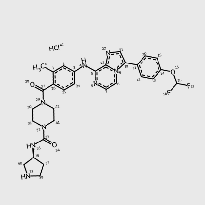 Cc1cc(Nc2nccn3c(-c4ccc(OC(F)F)cc4)cnc23)ccc1C(=O)N1CCN(C(=O)N[C@H]2CCNC2)CC1.Cl